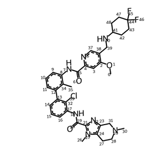 COc1cc(C(=O)Nc2cccc(-c3cccc(NC(=O)c4nc5c(n4C)CCN(C)C5)c3Cl)c2C)ncc1CNC1CCC(F)(F)CC1